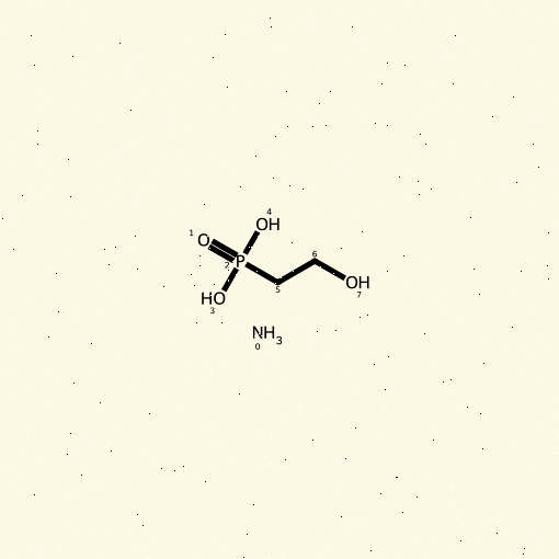 N.O=P(O)(O)CCO